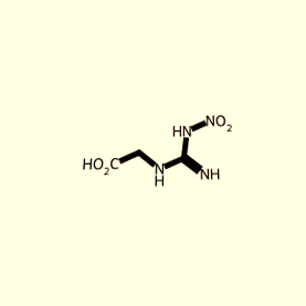 N=C(NCC(=O)O)N[N+](=O)[O-]